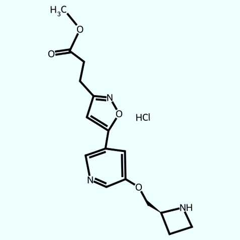 COC(=O)CCc1cc(-c2cncc(OC[C@@H]3CCN3)c2)on1.Cl